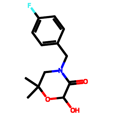 CC1(C)CN(Cc2ccc(F)cc2)C(=O)C(O)O1